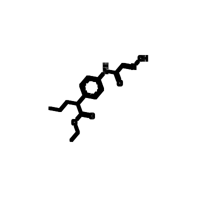 CCCC(C(=O)OCC)c1ccc(NC(=O)C=NO)cc1